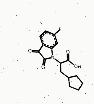 O=C1C(=O)N(C(CC2CCCC2)C(=O)O)c2cc(F)ccc21